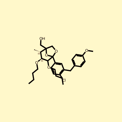 CCCCOC1[C@@H](OCCCC)[C@H](C)C2(CO)COC1(c1ccc(Cl)c(Cc3ccc(OC)cc3)c1)O2